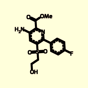 COC(=O)c1nc(-c2ccc(F)cc2)c(S(=O)(=O)CCO)cc1N